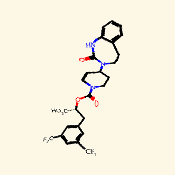 O=C(O)[C@@H](Cc1cc(C(F)(F)F)cc(C(F)(F)F)c1)OC(=O)N1CCC(N2CCc3ccccc3NC2=O)CC1